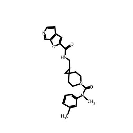 Cc1cccc(N(C)C(=O)N2CCC3(CC2)CC3CNC(=O)c2cc3ccncc3o2)c1